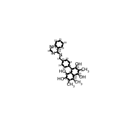 Cc1c(O)c(O)c2c(-c3ccc(C/N=C(\N=C/N)c4ccccc4)cc3)c(O)c(C)c(O)c2c1C